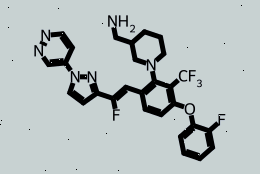 NCC1CCCN(c2c(/C=C(\F)c3ccn(-c4ccnnc4)n3)ccc(Oc3ccccc3F)c2C(F)(F)F)C1